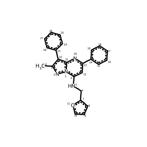 Cc1nn2c(NCc3ccco3)cc(-c3ccccc3)nc2c1-c1ccccc1